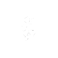 N#Cc1cccc(C(N2CCCC2)C(O)(c2cccnc2)c2cccnc2)c1